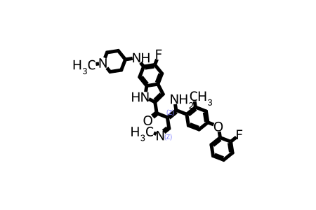 C/N=C\C(C(=O)c1cc2cc(F)c(NC3CCN(C)CC3)cc2[nH]1)=C(\N)c1ccc(Oc2ccccc2F)cc1C